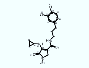 CCN1CC(C(=O)NCCCc2ccc(Cl)c(Cl)c2)=C(NC2CC2)C1=O